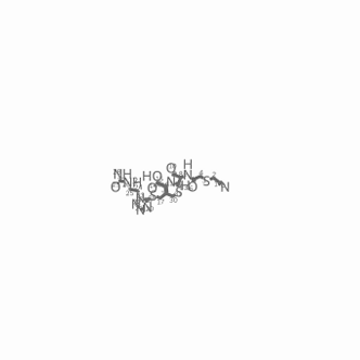 N#CCSCC(=O)NC1C(=O)N2C(C(=O)O)=C(CSc3nnnn3CCNC(N)=O)CS[C@H]12